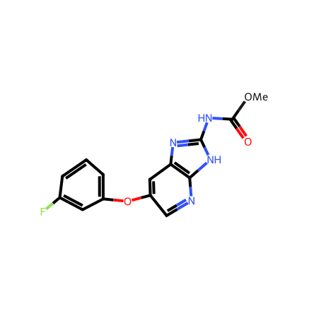 COC(=O)Nc1nc2cc(Oc3cccc(F)c3)cnc2[nH]1